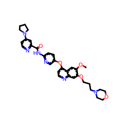 COc1cc2c(Oc3ccc(NC(=O)c4cc(N5CCCC5)ccn4)nc3)ccnc2cc1OCCCN1CCOCC1